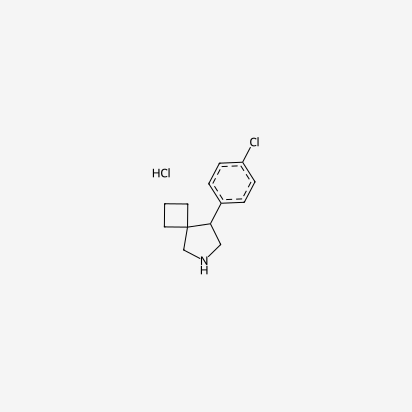 Cl.Clc1ccc(C2CNCC23CCC3)cc1